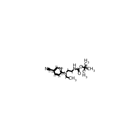 CCN(CCNC(=O)OC(C)(C)C)c1ccc(C#N)cn1